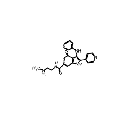 CNCCNC(=O)C1CC(=O)c2c([nH]c(-c3ccncc3)c2Nc2ccccc2)C1